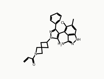 C=CC(=O)N1CC2(CC(n3nc(-c4ccccc4)c(-c4c(Cl)c(C)cc5[nH]nc(N)c45)c3C)C2)C1